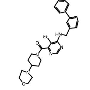 CCc1c(NCc2cccc(-c3ccccc3)c2)ncnc1C(=O)N1CCC(N2CCOCC2)CC1